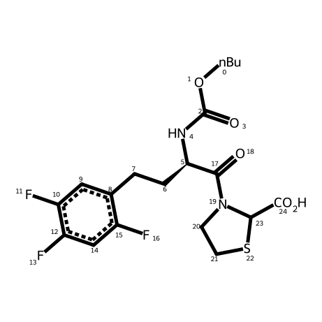 CCCCOC(=O)N[C@H](CCc1cc(F)c(F)cc1F)C(=O)N1CCSC1C(=O)O